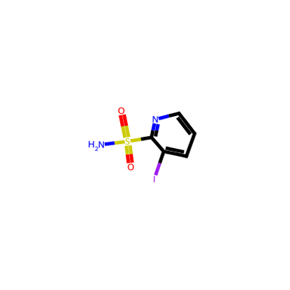 NS(=O)(=O)c1ncccc1I